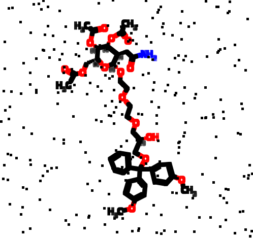 COc1ccc(C(OC[C@@H](O)COCCOCCO[C@@H]2O[C@H](COC(C)=O)[C@H](OC(C)=O)[C@H](OC(C)=O)[C@H]2CC(N)=O)(c2ccccc2)c2ccc(OC)cc2)cc1